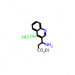 CCOC(=O)CC(N)c1cnc2ccccc2c1.Cl.Cl